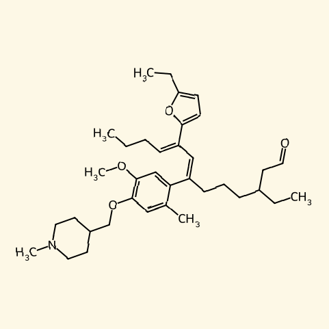 CCC/C=C(/C=C(/CCCC(CC)CC=O)c1cc(OC)c(OCC2CCN(C)CC2)cc1C)c1ccc(CC)o1